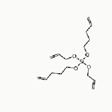 C=CCCCO[Si](OCC=C)(OCC=C)OCCCC=C